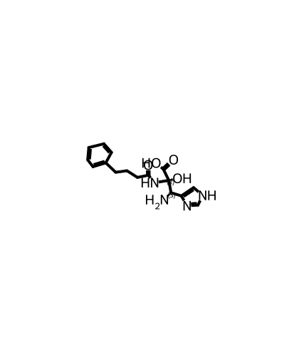 N[C@@H](c1c[nH]cn1)[C@](O)(NC(=O)CCCc1ccccc1)C(=O)O